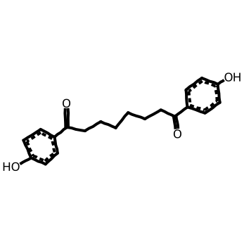 O=C(CCCCCCC(=O)c1ccc(O)cc1)c1ccc(O)cc1